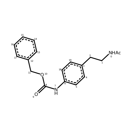 CC(=O)NCCc1ccc(NC(=O)OCc2ccccc2)cc1